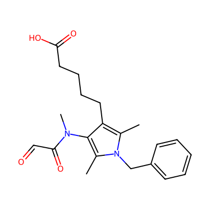 Cc1c(CCCCC(=O)O)c(N(C)C(=O)C=O)c(C)n1Cc1ccccc1